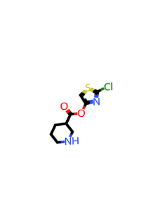 O=C(Oc1csc(Cl)n1)C1CCCNC1